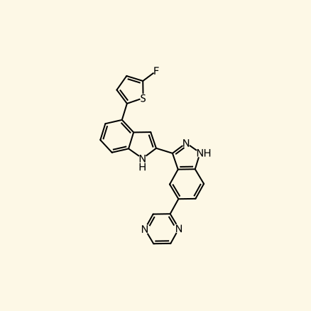 Fc1ccc(-c2cccc3[nH]c(-c4n[nH]c5ccc(-c6cnccn6)cc45)cc23)s1